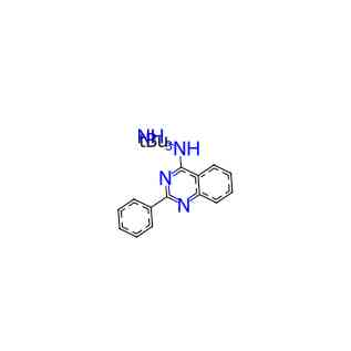 CC(C)(C)Nc1nc(-c2ccccc2)nc2ccccc12.N